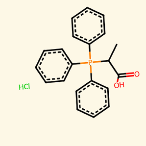 CC(C(=O)O)[P](c1ccccc1)(c1ccccc1)c1ccccc1.Cl